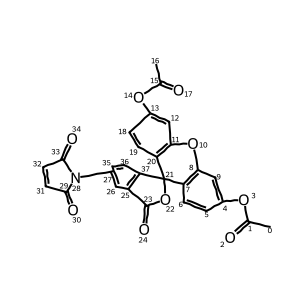 CC(=O)Oc1ccc2c(c1)Oc1cc(OC(C)=O)ccc1C21OC(=O)c2cc(N3C(=O)C=CC3=O)ccc21